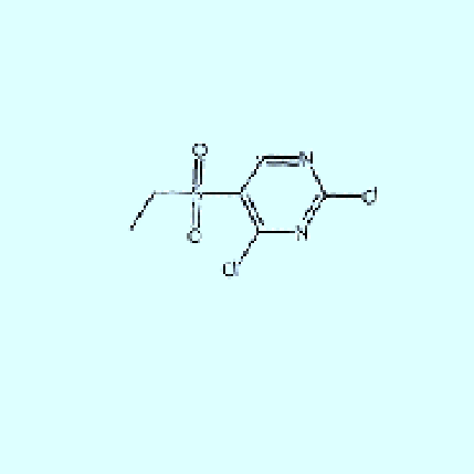 CCS(=O)(=O)c1[c]nc(Cl)nc1Cl